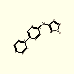 c1ccc(-c2ccc(Oc3ccoc3)cc2)cc1